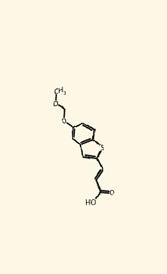 COCOc1ccc2sc(C=CC(=O)O)cc2c1